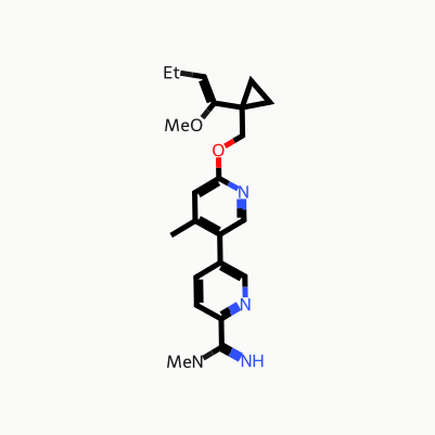 CC/C=C(\OC)C1(COc2cc(C)c(-c3ccc(C(=N)NC)nc3)cn2)CC1